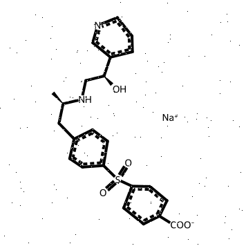 C[C@H](Cc1ccc(S(=O)(=O)c2ccc(C(=O)[O-])cc2)cc1)NC[C@H](O)c1cccnc1.[Na+]